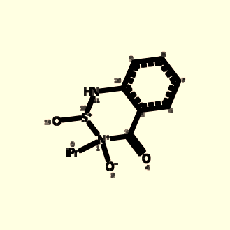 CC(C)[N+]1([O-])C(=O)c2ccccc2N[S+]1[O-]